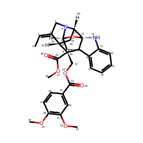 C/C=C1/CN2[C@@H]3C[C@@]45c6ccccc6N[C@]4(O3)[C@@H]2C[C@@H]1[C@@]5(COC(=O)c1ccc(OC)c(OC)c1)C(=O)OC